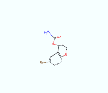 NC(=O)OC1CCOc2ccc(Br)cc21